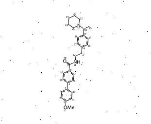 COc1ccc(-c2ccc(C(=O)NCCc3ccc(C(C)N4CCCCC4)cc3)cc2)cc1